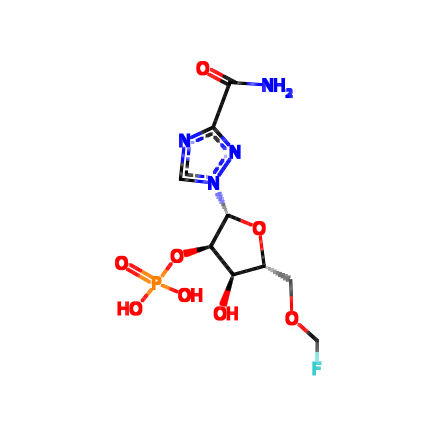 NC(=O)c1ncn([C@@H]2O[C@H](COCF)[C@@H](O)[C@H]2OP(=O)(O)O)n1